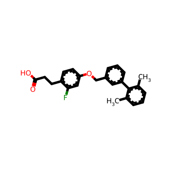 Cc1cccc(C)c1-c1cccc(COc2ccc(CCC(=O)O)c(F)c2)c1